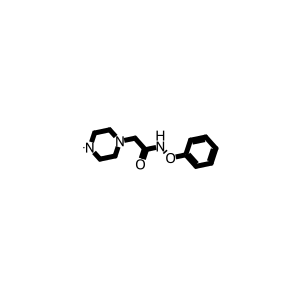 O=C(CN1CC[N]CC1)NOc1ccccc1